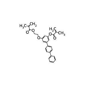 C=C(C)C(=O)OCCOc1cc(OC(=O)C(=C)C)cc(-c2ccc(-c3ccccc3)cc2)c1